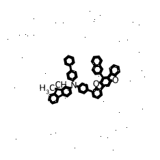 CC1(C)c2ccccc2-c2ccc(N(c3ccc(-c4ccccc4)cc3)c3ccc(-c4cccc5c4oc4c(-c6ccc7ccccc7c6)c6c(cc45)oc4ccccc46)cc3)cc21